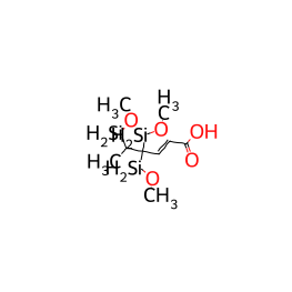 CO[SiH2]C(C)C(C=CC(=O)O)([SiH2]OC)[SiH2]OC